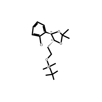 CC1(C)O[C@H](c2ccccc2Cl)[C@@H](CCO[Si](C)(C)C(C)(C)C)O1